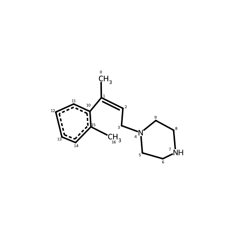 CC(=CCN1CCNCC1)c1ccccc1C